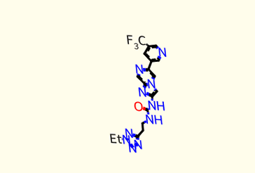 CCn1nnc(CCNC(=O)Nc2cn3cc(-c4cncc(C(F)(F)F)c4)ncc3n2)n1